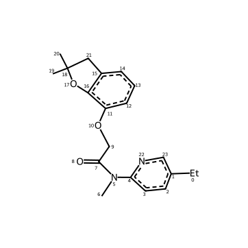 CCc1ccc(N(C)C(=O)COc2cccc3c2OC(C)(C)C3)nc1